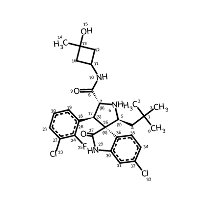 CC(C)(C)C[C@@H]1N[C@@H](C(=O)NC2CC(C)(O)C2)[C@H](c2cccc(Cl)c2F)[C@]12C(=O)Nc1cc(Cl)ccc12